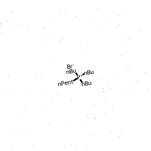 CCCCC[P+](CCCC)(CCCC)CCCC.[Br-]